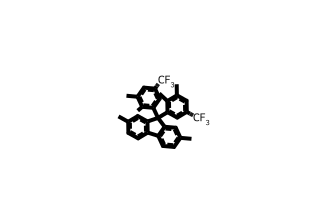 Cc1ccc2c(c1)C(c1cc(C(F)(F)F)cc(C)c1C)(c1cc(C(F)(F)F)cc(C)c1C)c1cc(C)ccc1-2